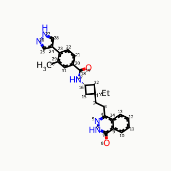 CC[C@]1(CCc2n[nH]c(=O)c3ccccc23)C[C@H](NC(=O)c2ccc(-c3cn[nH]c3)c(C)c2)C1